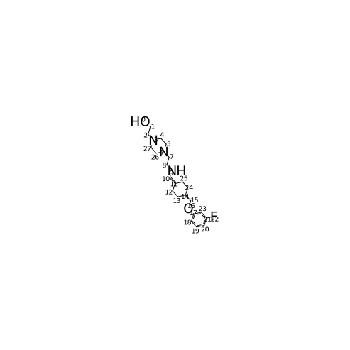 OCCN1CCN(CCNC=C2CCC(COc3cccc(F)c3)CC2)CC1